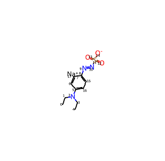 CCN(CC)c1ccc(N=NS(=O)(=O)[O-])cc1.[Na+]